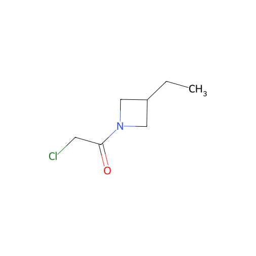 CCC1CN(C(=O)CCl)C1